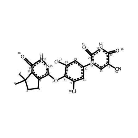 CC1(C)CCc2c(Oc3c(Cl)cc(-n4cc(C#N)c(=O)[nH]c4=O)cc3Cl)n[nH]c(=O)c21